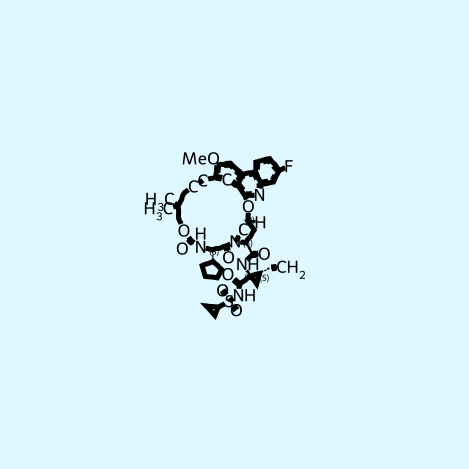 C=C[C@@H]1C[C@]1(NC(=O)[C@@H]1C[C@@H]2CN1C(=O)[C@H](C1CCCC1)NC(=O)OCC(C)(C)CCCc1cc3c(nc4cc(F)ccc4c3cc1OC)O2)C(=O)NS(=O)(=O)C1CC1